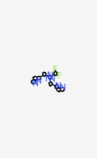 Fc1cc(F)cc(-c2nc(-c3cccc(-c4cnc5c(ccc6cccnc65)c4)c3)nc(-c3cccc(-c4cnc5c(ccc6cccnc65)c4)c3)n2)c1